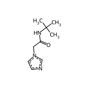 CC(C)(C)NC(=O)Cn1ccnc1